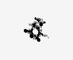 C=CCOc1ccccc1OCC(O)CNC(C)C.CC(O)[C@@H]1NC(=O)[C@H](CCCCN)NC(=O)[C@@H](Cc2c[nH]c3ccccc23)NC(=O)[C@H](Cc2ccccc2)NC(=O)[C@@H](NC(=O)[C@H](N)Cc2ccccc2)CSSC[C@@H](C(=O)N[C@H](CO)[C@@H](C)O)NC1=O